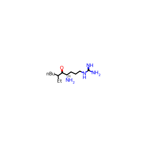 CCCCC(CC)C(=O)[C@@H](N)CCCNC(=N)N